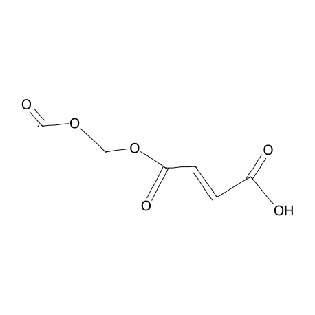 O=[C]OCOC(=O)C=CC(=O)O